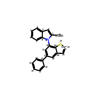 CC(C)(C)c1cc2ccccc2n1-c1cc(-c2ccccc2)cc2c[13cH]sc12